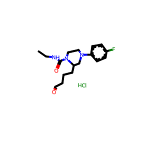 CCNC(=O)N1CCN(c2ccc(F)cc2)CC1CCCC=O.Cl